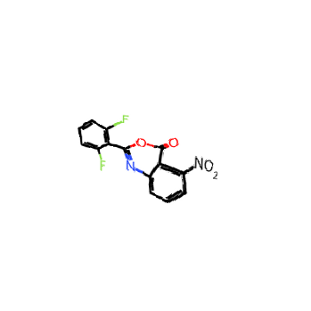 O=c1oc(-c2c(F)cccc2F)nc2cccc([N+](=O)[O-])c12